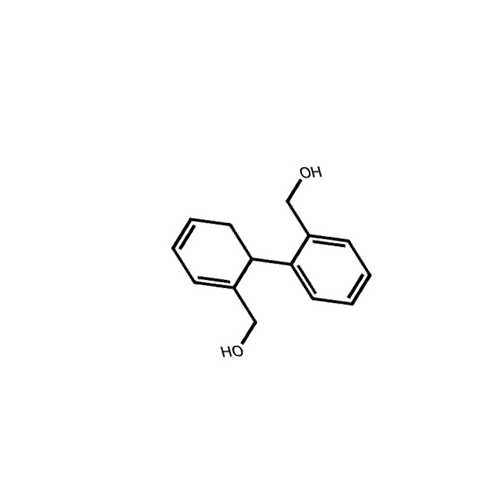 OCC1=CC=CCC1c1ccccc1CO